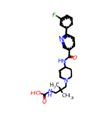 CC(C)(CNC(=O)O)CN1CCC(NC(=O)c2ccc(-c3cccc(F)c3)nc2)CC1